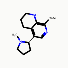 COc1ncc([C@@H]2CCCN2C)c2c1NCCC2